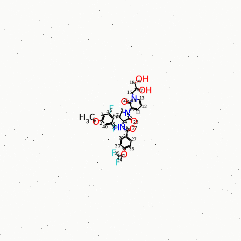 COc1cc(F)c([C@@H]2CN(c3cccn(CC(O)CO)c3=O)C(=O)C2NC(=O)c2ccc(OC(F)F)cc2)c(F)c1